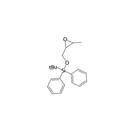 CC1OC1CO[Si](c1ccccc1)(c1ccccc1)C(C)(C)C